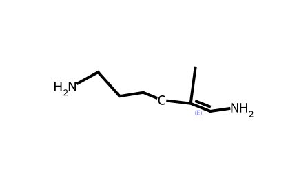 C/C(=C\N)CCCCN